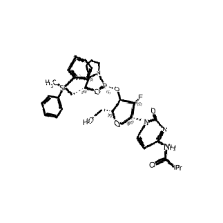 CC(C)C(=O)Nc1ccn([C@@H]2O[C@H](CO)C(O[P@]3O[C@H](C[Si](C)(c4ccccc4)c4ccccc4)[C@@H]4CCCN43)[C@@H]2F)c(=O)n1